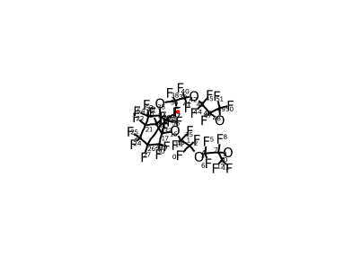 FC(F)(OC(F)(F)C1(F)OC1(F)F)C(F)(F)OC12C(F)(F)C3(F)C(F)(F)C(F)(C1(F)F)C(F)(F)C(OC(F)(F)C(F)(F)OC(F)(F)C1(F)OC1(F)F)(C3(F)F)C2(F)F